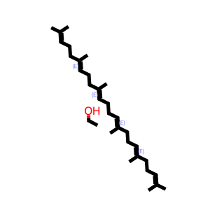 CC(C)=CCC/C(C)=C/CC/C(C)=C/CC/C=C(\C)CC/C=C(\C)CCC=C(C)C.CCO